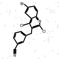 N#Cc1cccc(Cc2c(Cl)nc3ccc(Br)cc3c2Cl)c1